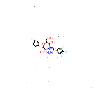 N/C(=C\N1NC(O)C(Sc2ccc(F)cc2)OC(CO)C1O)c1cc(F)c(F)c(F)c1